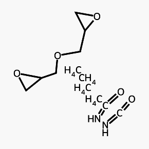 C.C.C.C.C(OCC1CO1)C1CO1.N=C=O.N=C=O